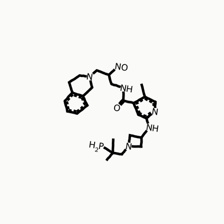 Cc1cnc(NC2CN(CC(C)(C)P)C2)cc1C(=O)NCC(CN1CCc2ccccc2C1)N=O